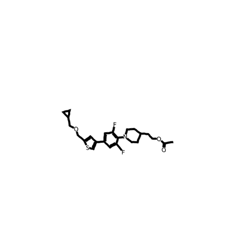 CC(=O)OCCC1CCN(c2c(F)cc(-c3csc(COCC4CC4)c3)cc2F)CC1